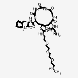 CNCCOCCOCCOCCNC(=O)S/C1=C(\C)C[C@H](NC(=O)CN)C(=O)NCC(=O)NCC(=O)NCC(=O)N[C@H](C(=O)N[C@@H](Cc2ccccc2)C(N)=O)C1